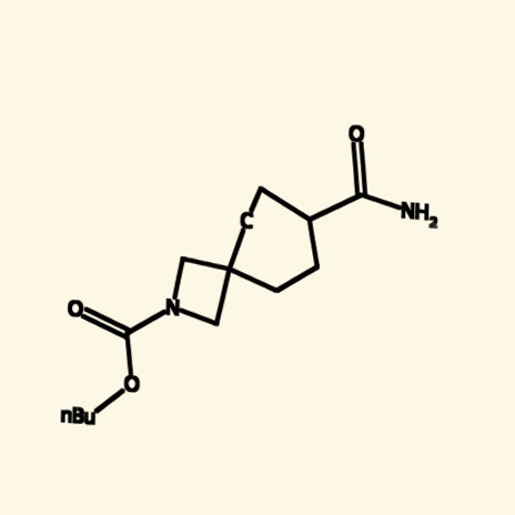 CCCCOC(=O)N1CC2(CCC(C(N)=O)CC2)C1